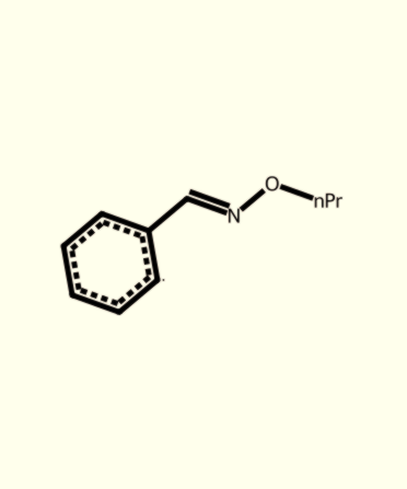 CCCON=Cc1[c]cccc1